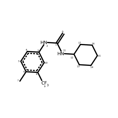 C=C(Nc1ccc(C)c(C(F)(F)F)c1)NC1CCCCC1